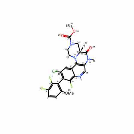 COc1ccc(F)c(F)c1-c1c(Cl)cc2c3c(cnc2c1F)N(C)C(=O)[C@H]1CN(C(=O)OC(C)(C)C)CCN31